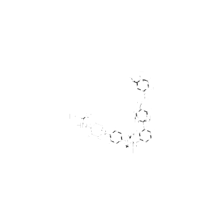 CC(=O)NC1CCN(c2ccc(S(=O)(=O)Nc3cccc(-c4ncc(OCc5cc[nH]c(=O)c5)cn4)c3)cc2)CC1